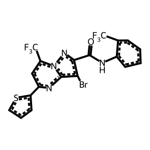 O=C(Nc1ccccc1C(F)(F)F)c1nn2c(C(F)(F)F)cc(-c3cccs3)nc2c1Br